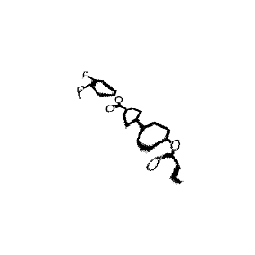 C/C=C/C(=O)OC1CCC(C2CCC(C(=O)Oc3ccc(F)c(F)c3)CC2)CC1